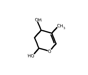 CC1=COC(O)CC1O